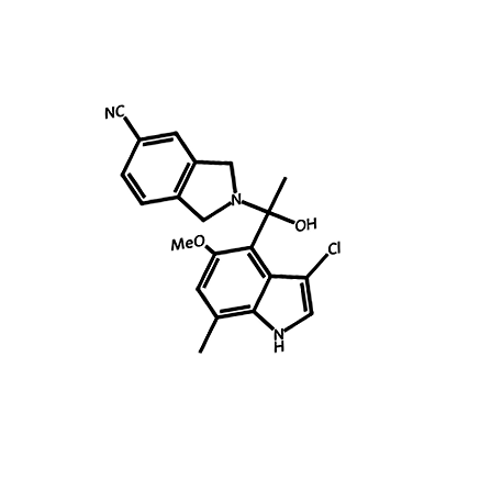 COc1cc(C)c2[nH]cc(Cl)c2c1C(C)(O)N1Cc2ccc(C#N)cc2C1